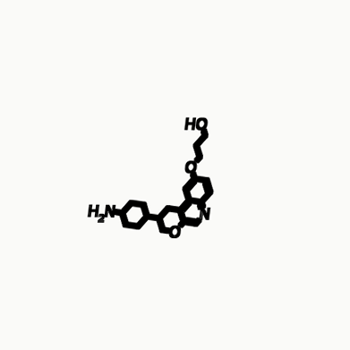 NC1CCC(C2COc3cnc4ccc(OCCCO)cc4c3C2)CC1